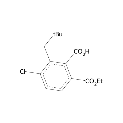 CCOC(=O)c1ccc(Cl)c(CC(C)(C)C)c1C(=O)O